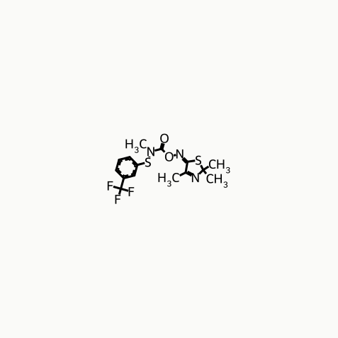 CC1=NC(C)(C)SC1=NOC(=O)N(C)Sc1cccc(C(F)(F)F)c1